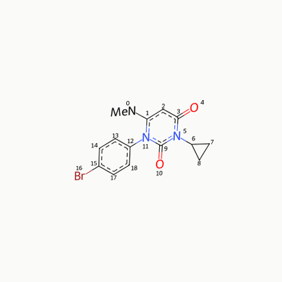 CNc1cc(=O)n(C2CC2)c(=O)n1-c1ccc(Br)cc1